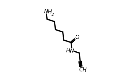 C#CCNC(=O)CCCCCN